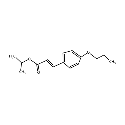 CCCOc1ccc(C=CC(=O)OC(C)C)cc1